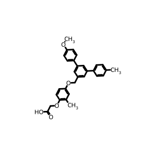 COc1ccc(-c2cc(COc3ccc(OCC(=O)O)c(C)c3)cc(-c3ccc(C)cc3)c2)cc1